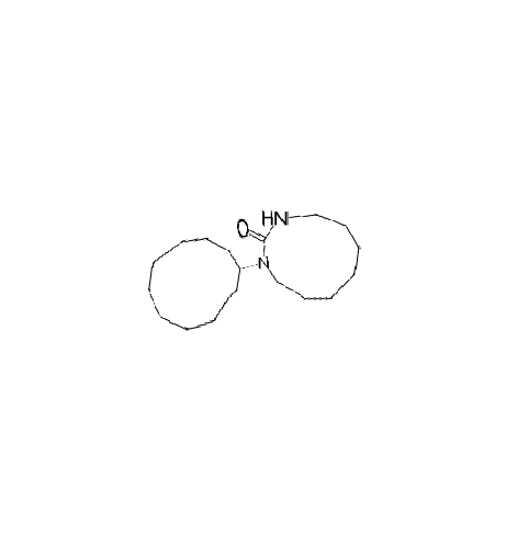 O=C1NCCCCCCCN1C1CCCCCCCCC1